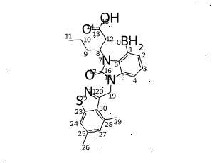 Bc1cccc2c1n(C(CCC)CC(=O)O)c(=O)n2Cc1nsc2cc(C)cc(C)c12